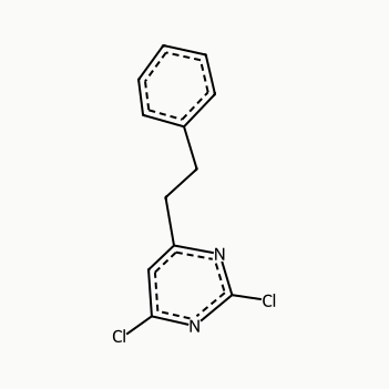 Clc1cc(CCc2ccccc2)nc(Cl)n1